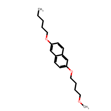 CCCCCOc1ccc2cc(OCCCCOC)ccc2c1